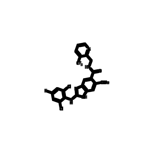 COc1cc2[nH]c(Nc3c(Cl)cc(F)cc3Cl)nc2cc1C(=O)NCc1ncccc1C(F)(F)F